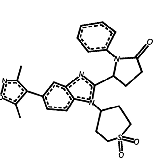 Cc1noc(C)c1-c1ccc2c(c1)nc(C1CCC(=O)N1c1ccccc1)n2C1CCS(=O)(=O)CC1